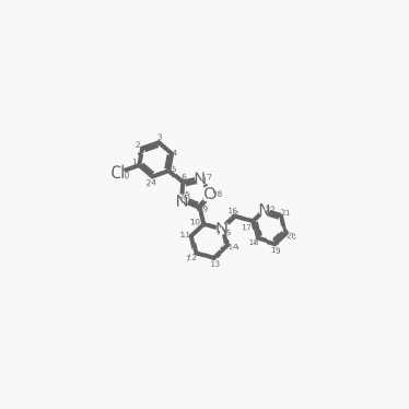 Clc1cccc(-c2noc(C3CCCCN3Cc3ccccn3)n2)c1